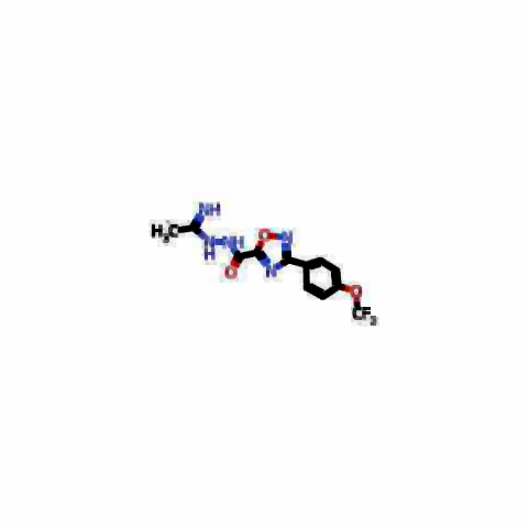 CC(=N)NNC(=O)c1nc(-c2ccc(OC(F)(F)F)cc2)no1